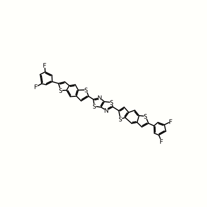 Fc1cc(F)cc(-c2cc3cc4sc(-c5nc6sc(-c7cc8cc9sc(-c%10cc(F)cc(F)c%10)cc9cc8s7)nc6s5)cc4cc3s2)c1